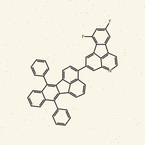 Fc1cc(F)c2c(c1)-c1ccnc3cc(-c4ccc5c6c(cccc46)-c4c-5c(-c5ccccc5)c5ccccc5c4-c4ccccc4)cc-2c13